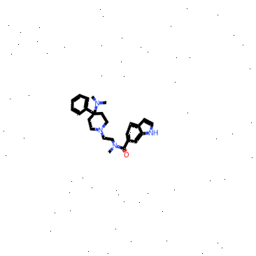 CN(CCN1CCC(c2ccccc2)(N(C)C)CC1)C(=O)c1ccc2cc[nH]c2c1